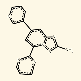 Nc1nc2cc(-c3cccnc3)cc(-c3ncccn3)n2n1